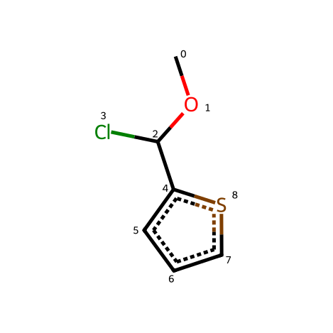 COC(Cl)c1cccs1